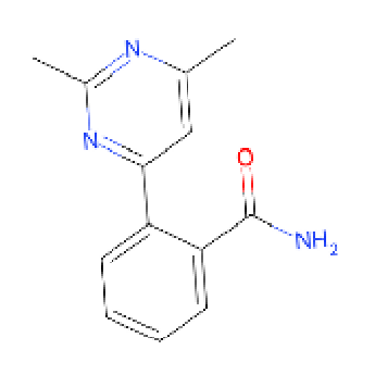 Cc1cc(-c2ccccc2C(N)=O)nc(C)n1